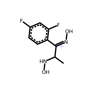 CC(NO)/C(=N/O)c1ccc(F)cc1F